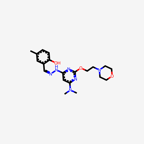 Cc1ccc(O)c(/C=N\Nc2cc(N(C)C)nc(OCCN3CCOCC3)n2)c1